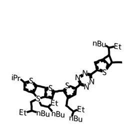 CCCCC(CC)Cc1cc(-c2nnc(-c3cc4c(s3)C(C)C4C(CC)CCCC)nn2)sc1-c1cc2c(s1)-c1sc(C(C)C)cc1S2(CC(CC)CCCC)CC(CC)CCCC